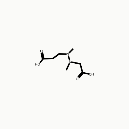 CN(CCC(=O)O)N(C)CC(=O)O